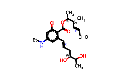 CCNc1cc(O)c(C(=O)O[C@@H](C)[C@H](C)/C=C/C=O)c(/C=C/C[C@H](O)C(C)O)c1